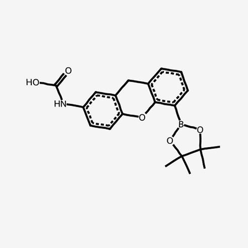 CC1(C)OB(c2cccc3c2Oc2ccc(NC(=O)O)cc2C3)OC1(C)C